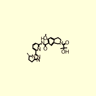 COc1cc2c(cc1C(=O)Nc1cccc(-c3nnc4n3[C@H](C)CC4)n1)CN(C(=O)C(C)(C)O)CC2